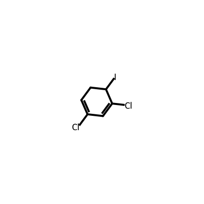 ClC1=CCC(I)C(Cl)=C1